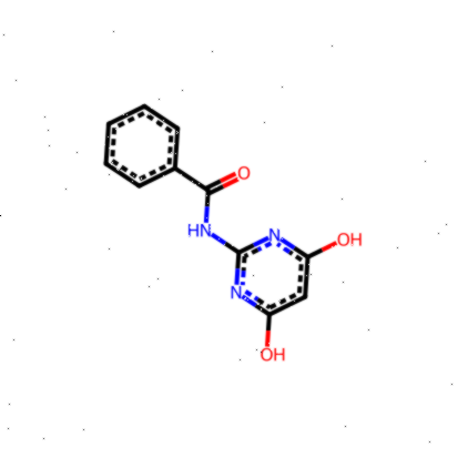 O=C(Nc1nc(O)cc(O)n1)c1ccccc1